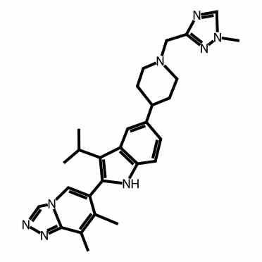 Cc1c(-c2[nH]c3ccc(C4CCN(Cc5ncn(C)n5)CC4)cc3c2C(C)C)cn2cnnc2c1C